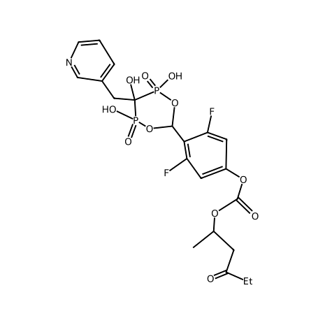 CCC(=O)CC(C)OC(=O)Oc1cc(F)c(C2OP(=O)(O)C(O)(Cc3cccnc3)P(=O)(O)O2)c(F)c1